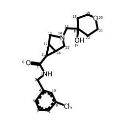 O=C(NCc1cccc(Cl)c1)C1C2CN(CC3(O)CCOCC3)CC21